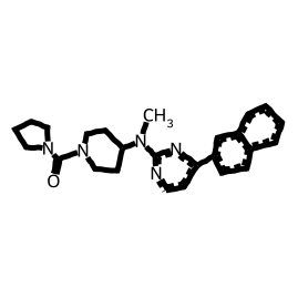 CN(c1nccc(-c2ccc3ccccc3c2)n1)C1CCN(C(=O)N2CCCC2)CC1